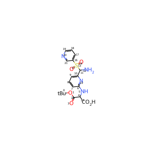 CC(C)(C)OC(=O)C(Nc1cccc(C(N)S(=O)(=O)c2cccnc2)n1)C(=O)O